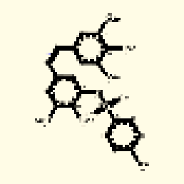 COc1cc(/C=C\c2cc(OC)c(OC)c(OC)c2)cc(NS(=O)(=O)c2ccc(C(C)(C)C)cc2)c1OC